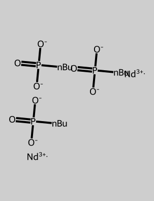 CCCCP(=O)([O-])[O-].CCCCP(=O)([O-])[O-].CCCCP(=O)([O-])[O-].[Nd+3].[Nd+3]